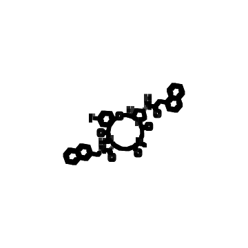 CN1CC(=O)N2C[C@@H](NC(=O)Cc3cccc4ccccc34)C[C@H]2COc2ccc(F)cc2C(=O)N(C)[C@@H](C(=O)NCc2ccc3ccccc3c2)CCC1=O